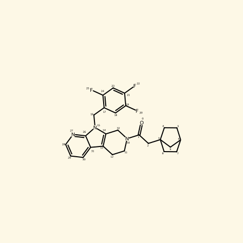 O=C(CC12CCC(CC1)C2)N1CCc2c(n(Cc3cc(F)c(F)cc3F)c3ncccc23)C1